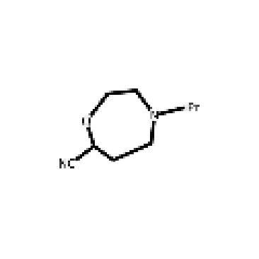 CC(C)N1CCOC(C#N)CC1